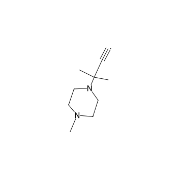 [C]#CC(C)(C)N1CCN(C)CC1